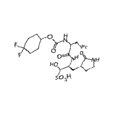 CC(C)C[C@H](NC(=O)OC1CCC(F)(F)CC1)C(=O)N[C@@H](C[C@@H]1CCNC1=O)C(O)S(=O)(=O)O